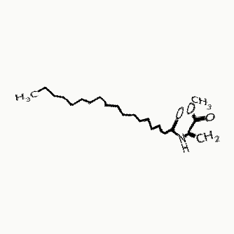 C=C(NC(=O)CCCCCCCCCCCCCCCCC)C(=O)OC